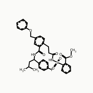 COC(=O)c1ccccc1S(=O)(=O)NC(=O)CCc1ccc(COc2ccccc2)cc1C(=O)NC(CC(C)C)c1ccc(F)cc1